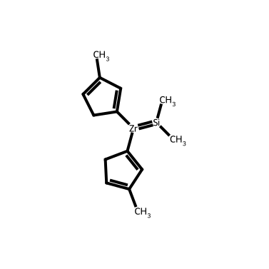 CC1=CC[C]([Zr]([C]2=CC(C)=CC2)=[Si](C)C)=C1